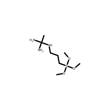 CO[Si](CCCNC(C)(N)N)(OC)OC